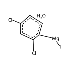 Clc1cc[c]([Mg][I])c(Cl)c1.O